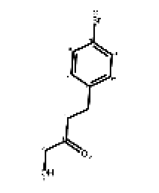 O=C(CO)CCc1ccc(Br)cc1